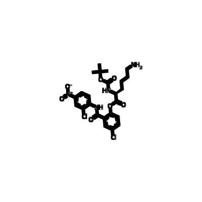 CC(C)(C)OC(=O)N[C@@H](CCCCN)C(=O)Oc1ccc(Cl)cc1C(=O)Nc1ccc([N+](=O)[O-])cc1Cl